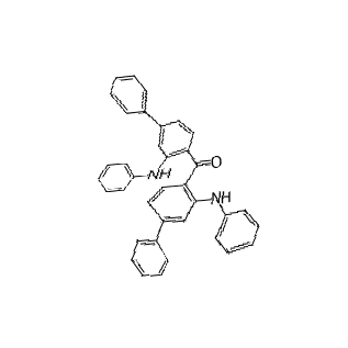 O=C(c1ccc(-c2ccccc2)cc1Nc1ccccc1)c1ccc(-c2ccccc2)cc1Nc1ccccc1